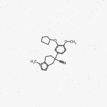 COc1ccc(C2(C#N)CCc3c(ccn3C)C2)cc1OC1CCCC1